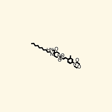 CCCCCCCCCC1=NC2(CCN(S(=O)(=O)/C=C/c3ccc(N4CCOCC4=O)cc3C)CC2)C(=O)N1